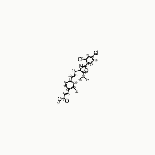 COC(=O)C=Cc1ccc(C=CCc2nc(-c3ccc(Cl)cc3Cl)oc2C(C)C)cc1C